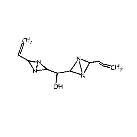 C=CC1N2C(C(O)C3N4C(C=C)N34)N12